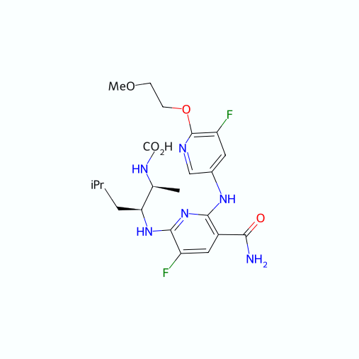 COCCOc1ncc(Nc2nc(N[C@@H](CC(C)C)[C@H](C)NC(=O)O)c(F)cc2C(N)=O)cc1F